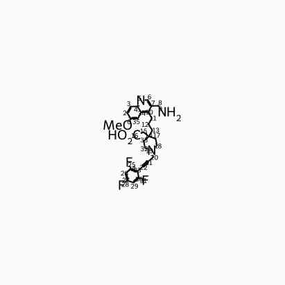 COc1ccc2ncc(CN)c(CCCC3(CC(=O)O)CCN(CC#Cc4c(F)cc(F)cc4F)CC3)c2c1